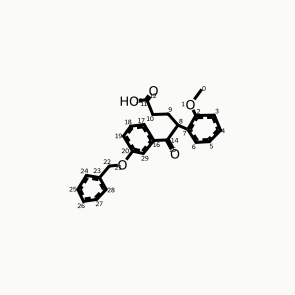 COc1ccccc1C(CCC(=O)O)C(=O)c1cccc(OCc2ccccc2)c1